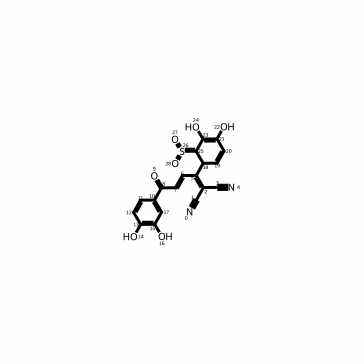 N#CC(C#N)=C(C=CC(=O)c1ccc(O)c(O)c1)C1C=CC(O)=C(O)C1=S(=O)=O